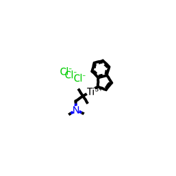 CN(C)C[C](C)(C)[Ti+3][CH]1C=Cc2ccccc21.[Cl-].[Cl-].[Cl-]